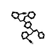 N#Cc1ccccc1CC(=Cc1ccccc1)c1ccc(C(=Cc2ccccc2)Cc2ccccc2C#N)cc1